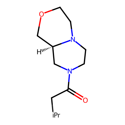 CC(C)CC(=O)N1CCN2CCOC[C@@H]2C1